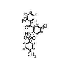 Cc1ccc(S(=O)(=O)Nc2ccc(Cl)cc2C(=O)c2ccccc2F)cc1